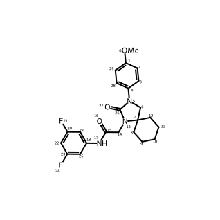 COc1ccc(N2CC3(CCCCC3)N(CC(=O)Nc3cc(F)cc(F)c3)C2=O)cc1